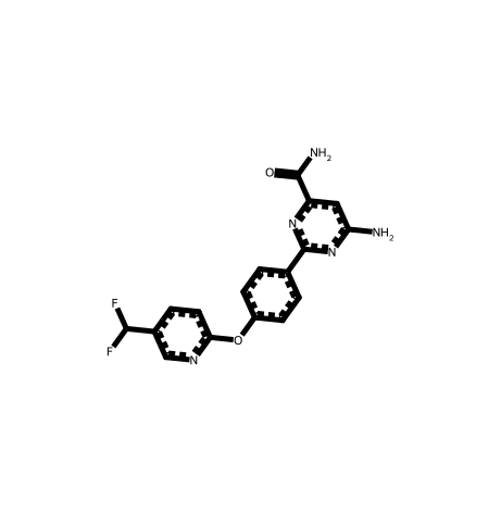 NC(=O)c1cc(N)nc(-c2ccc(Oc3ccc(C(F)F)cn3)cc2)n1